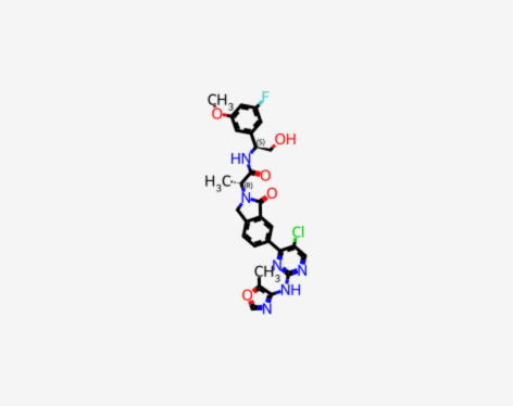 COc1cc(F)cc([C@@H](CO)NC(=O)[C@@H](C)N2Cc3ccc(-c4nc(Nc5ncoc5C)ncc4Cl)cc3C2=O)c1